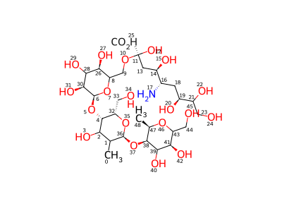 CC1C(O)[C@H](O[C@@H]2OC(CO[C@@](O)(C[C@@H](O)[C@@H](N)C[C@H](O)C(O)CO)C(=O)O)[C@H](O)C(O)[C@@H]2O)[C@H](CO)O[C@H]1O[C@@H]1C(O)[C@H](O)C(CO)O[C@@H]1C